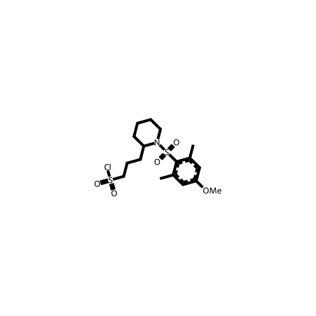 COc1cc(C)c(S(=O)(=O)N2CCCCC2CCCS(=O)(=O)Cl)c(C)c1